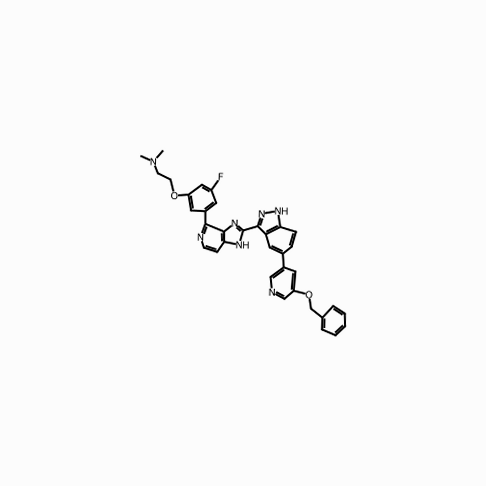 CN(C)CCOc1cc(F)cc(-c2nccc3[nH]c(-c4n[nH]c5ccc(-c6cncc(OCc7ccccc7)c6)cc45)nc23)c1